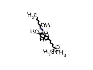 CCCCC[C@@H](O)/C=C/[C@@H]1[C@H]2CC(CCCCC(=O)N(C)C)=C[C@H]2C[C@@H]1O